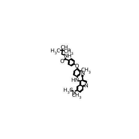 Cc1cc(Nc2c(C#N)cnc3ccc(N(C)C)cc23)ccc1Oc1ccc(C(=O)NCC(C)(C)C)cc1